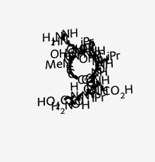 CNC1(C)CCCC=CCCCC(C)(C(=O)N[C@@H](CCC(=O)O)C(=O)NC(C(=O)NCC(=O)NC(CC(=O)O)C(N)=O)C(C)C)NC(=O)[C@H](N[C@H](C=O)CC(C)C)NC(=O)[C@H](N[C@H](C=O)CC(C)C)NC(=O)[C@H](N[C@H](C=O)CCCNC(=N)N)NC1=O